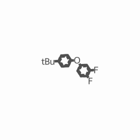 CC(C)(C)c1ccc(Oc2ccc(F)c(F)c2)cc1